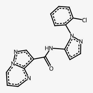 O=C(Nc1ccnn1-c1ccccc1Cl)c1cnn2cccnc12